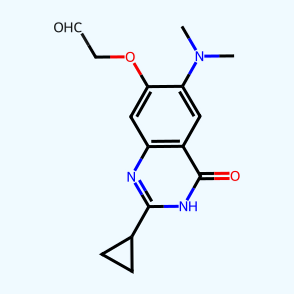 CN(C)c1cc2c(=O)[nH]c(C3CC3)nc2cc1OCC=O